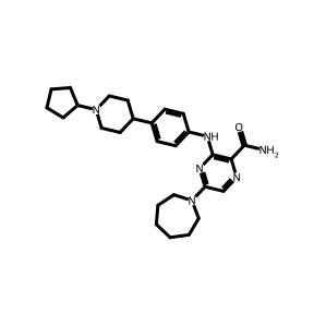 NC(=O)c1ncc(N2CCCCCC2)nc1Nc1ccc(C2CCN(C3CCCC3)CC2)cc1